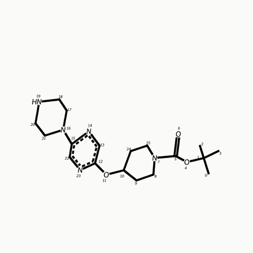 CC(C)(C)OC(=O)N1CCC(Oc2cnc(N3CCNCC3)cn2)CC1